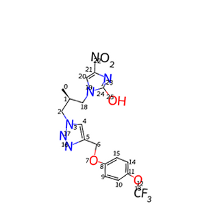 C[C@H](Cn1cc(COc2ccc(OC(F)(F)F)cc2)nn1)Cn1cc([N+](=O)[O-])nc1O